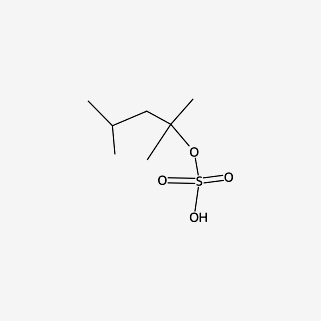 CC(C)CC(C)(C)OS(=O)(=O)O